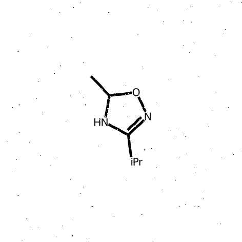 CC1NC(C(C)C)=NO1